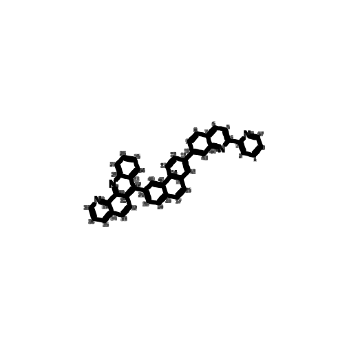 c1ccc(-c2ccc3ccc(-c4ccc5c(ccc6ccc(-c7c8ccccc8nc8c7ccc7cccnc78)cc65)c4)cc3n2)nc1